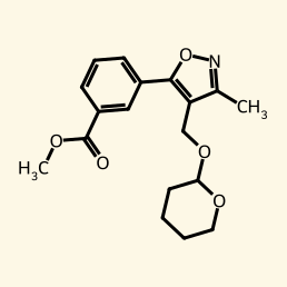 COC(=O)c1cccc(-c2onc(C)c2COC2CCCCO2)c1